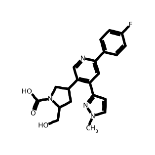 Cn1ccc(-c2cc(-c3ccc(F)cc3)ncc2C2CC(CO)N(C(=O)O)C2)n1